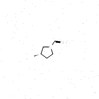 [CH2][C@@H]1CCN(C=N)C1